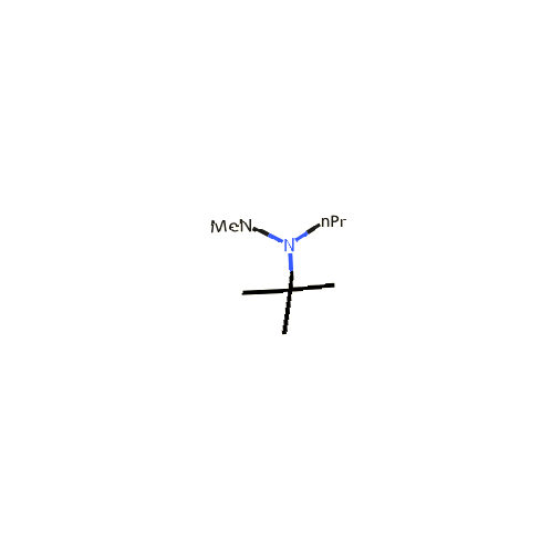 CCCN(NC)C(C)(C)C